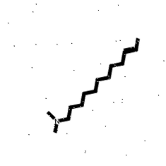 CC=CCCCCCCCCCN(C)C